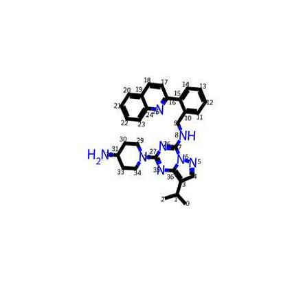 CC(C)c1cnn2c(NCc3ccccc3-c3ccc4ccccc4n3)nc(N3CCC(N)CC3)nc12